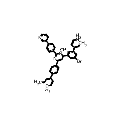 C=C/C=C(\C=C/C)c1ccc(C2=CC(c3cc(Br)cc(C(/C=C\N)=C/C)c3)N(C)C(c3ccc(-c4cccnc4)cc3)=N2)cc1